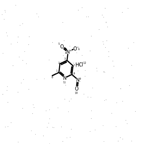 Cc1cc([N+](=O)[O-])cc(N=O)n1.Cl